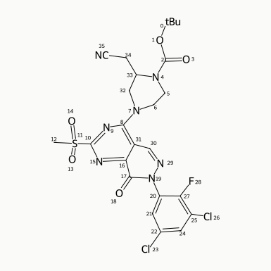 CC(C)(C)OC(=O)N1CCN(c2nc(S(C)(=O)=O)nc3c(=O)n(-c4cc(Cl)cc(Cl)c4F)ncc23)CC1CC#N